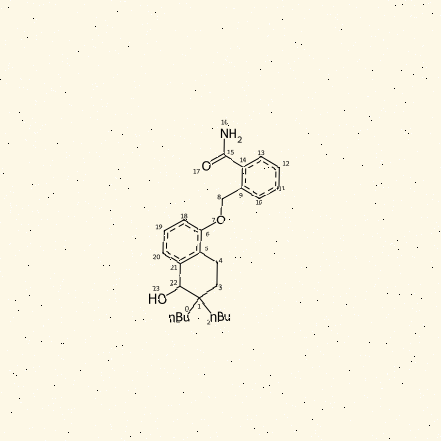 CCCCC1(CCCC)CCc2c(OCc3ccccc3C(N)=O)cccc2C1O